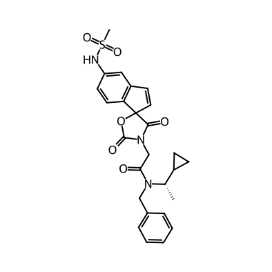 C[C@@H](C1CC1)N(Cc1ccccc1)C(=O)CN1C(=O)OC2(C=Cc3cc(NS(C)(=O)=O)ccc32)C1=O